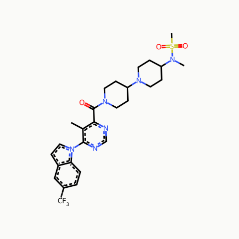 Cc1c(C(=O)N2CCC(N3CCC(N(C)S(C)(=O)=O)CC3)CC2)ncnc1-n1ccc2cc(C(F)(F)F)ccc21